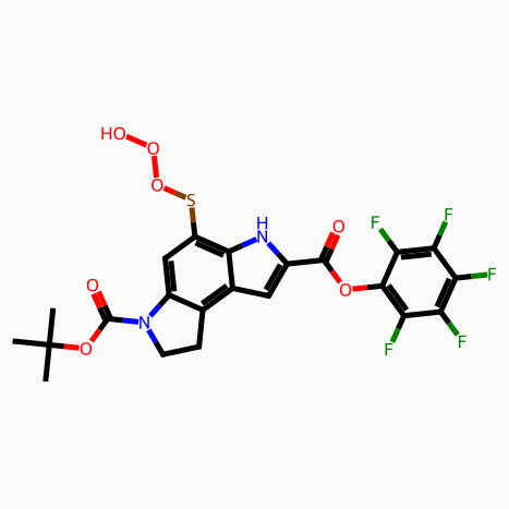 CC(C)(C)OC(=O)N1CCc2c1cc(SOOO)c1[nH]c(C(=O)Oc3c(F)c(F)c(F)c(F)c3F)cc21